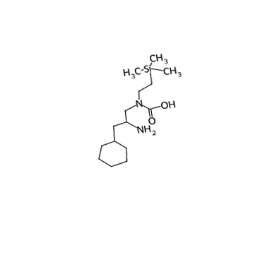 C[Si](C)(C)CCN(CC(N)CC1CCCCC1)C(=O)O